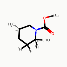 [2H]C1([2H])C[C@H](C)CN(C(=O)OC(C)(C)C)[C@]1([2H])C=O